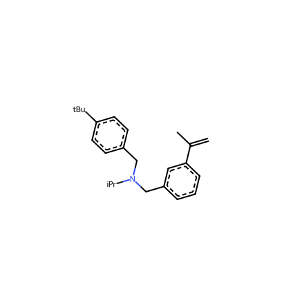 C=C(C)c1cccc(CN(Cc2ccc(C(C)(C)C)cc2)C(C)C)c1